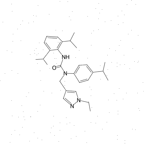 CCn1cc(CN(C(=O)Nc2c(C(C)C)cccc2C(C)C)c2ccc(C(C)C)cc2)cn1